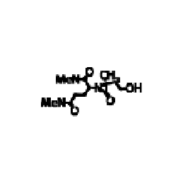 CNC(=O)CCC(C(=O)NC)N1C(=O)[C@]1(C)CCO